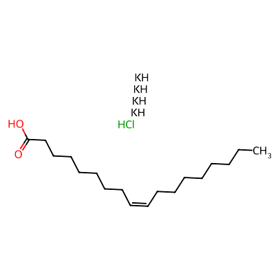 CCCCCCCC/C=C\CCCCCCCC(=O)O.Cl.[KH].[KH].[KH].[KH]